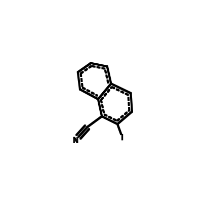 N#Cc1c(I)ccc2ccccc12